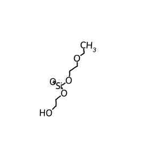 CCOCCO[Si](=O)OCCO